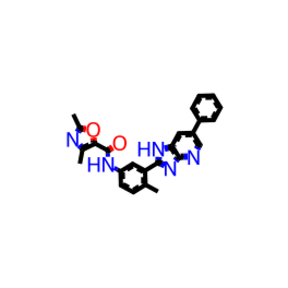 Cc1nc(C)c(C(=O)Nc2ccc(C)c(-c3nc4ncc(-c5ccccc5)cc4[nH]3)c2)o1